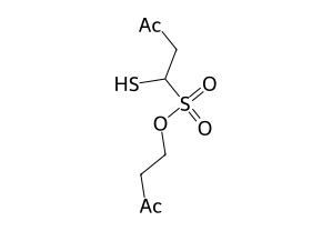 CC(=O)CCOS(=O)(=O)C(S)CC(C)=O